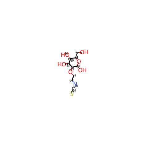 OC[C@H]1O[C@H](O)[C@@H](OCCN=C=S)[C@@H](O)[C@@H]1O